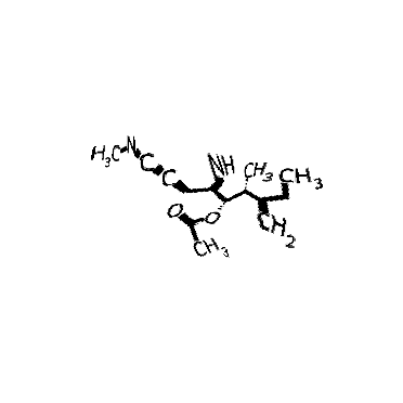 C=C(CC)[C@@H](C)[C@H](OC(C)=O)C(=N)C=C=C=NC